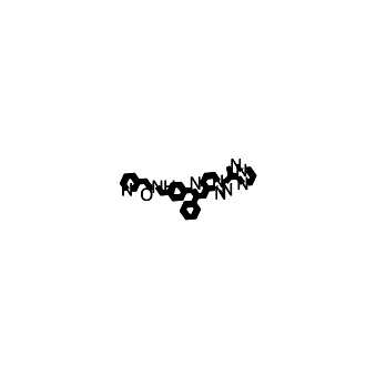 O=C(Cc1cccnc1)NCc1ccc(-c2nc3ccn4c(-c5cnn6cccnc56)nnc4c3cc2-c2ccccc2)cc1